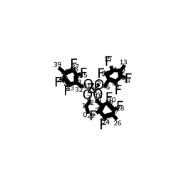 CCC[O][Zr]([O]Cc1c(F)c(F)c(C)c(F)c1F)([O]Cc1c(F)c(F)c(C)c(F)c1F)[O]Cc1c(F)c(F)c(C)c(F)c1F